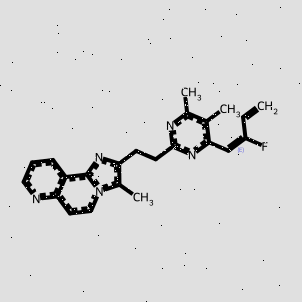 C=C/C(F)=C\c1nc(CCc2nc3c4cccnc4ccn3c2C)nc(C)c1C